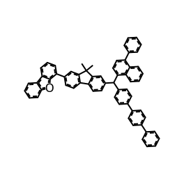 CC1(C)c2cc(-c3cccc4c3oc3ccccc34)ccc2-c2ccc(C(c3ccc(-c4ccc(-c5ccccc5)cc4)cc3)c3ccc(-c4ccccc4)c4ccccc34)cc21